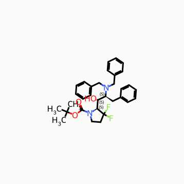 CC(C)(C)OC(=O)N1CCC(F)(F)[C@@H]1[C@@H](O)[C@H](Cc1ccccc1)N(Cc1ccccc1)Cc1ccccc1